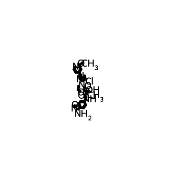 COc1cc(-n2cc(Cl)c(N3CCOC(C(C)(O)C(=O)Nc4ccc5c(N)noc5c4)C3=O)n2)ccn1